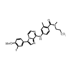 CCOC(=O)CCN(C)C(=O)c1ccc(Nc2nccn3c(-c4ccc(OC)c(F)c4)cnc23)cc1C